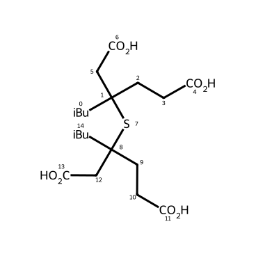 CCC(C)C(CCC(=O)O)(CC(=O)O)SC(CCC(=O)O)(CC(=O)O)C(C)CC